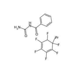 CC(C)C1(F)C(F)=C(F)C(F)=C(F)C1F.NC(=O)NC(=O)c1ccccc1